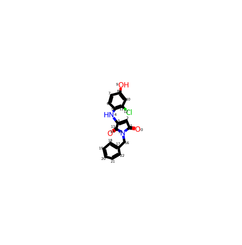 O=C1C=C(Nc2ccc(O)cc2Cl)C(=O)N1Cc1ccccc1